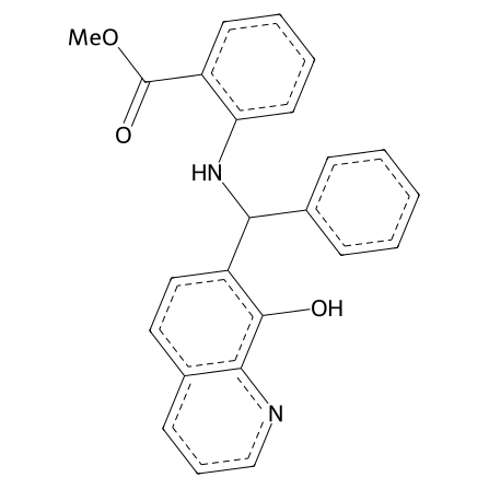 COC(=O)c1ccccc1NC(c1ccccc1)c1ccc2cccnc2c1O